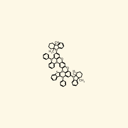 CC12CCCCC1(C)N(c1cc3c4c(c1)N(c1ccccc1)c1ccccc1B4c1cc4c(cc1O3)Oc1cc(N3c5ccccc5C5(C)CCCCC35C)cc3c1B4c1sc4ccccc4c1N3c1ccccc1)c1ccccc12